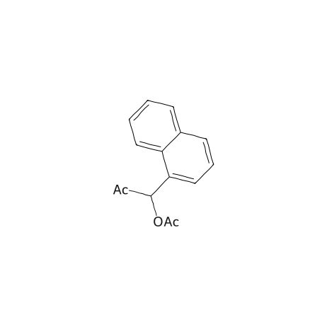 CC(=O)OC(C(C)=O)c1cccc2ccccc12